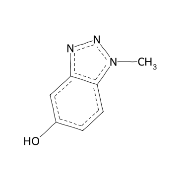 Cn1nnc2cc(O)ccc21